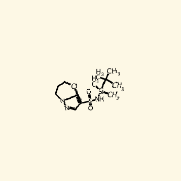 CC(C)(C)[Si](C)(C)NS(=O)(=O)c1cnn2c1OCCC2